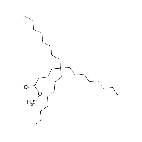 CCCCCCCCC(CCCCCCCC)(CCCCCCCC)CCCC(=O)O[SiH3]